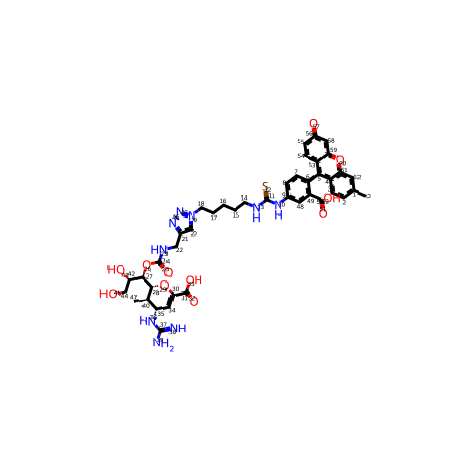 Cc1ccc2c(-c3ccc(NC(=S)NCCCCCn4cc(CNC(=O)O[C@@H]([C@@H]5OC(C(=O)O)=C[C@H](NC(=N)N)[C@H]5C)[C@H](O)CO)nn4)cc3C(=O)O)c3ccc(=O)cc-3oc2c1